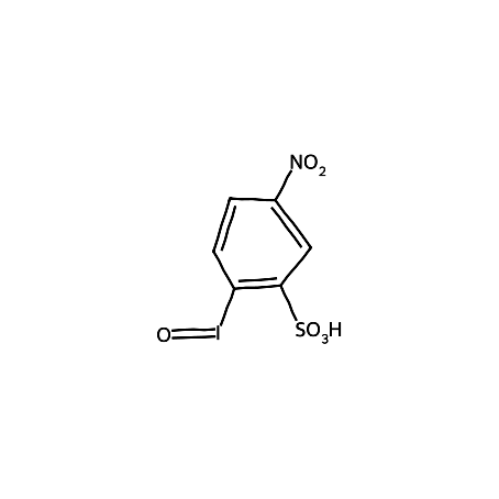 O=Ic1ccc([N+](=O)[O-])cc1S(=O)(=O)O